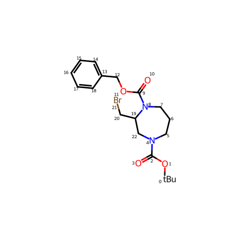 CC(C)(C)OC(=O)N1CCCN(C(=O)OCc2ccccc2)C(CBr)C1